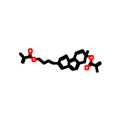 C=C(C)C(=O)OCCCCc1ccc2c3c(ccc2c1)CC(C)(OC(=O)C(=C)C)C=C3